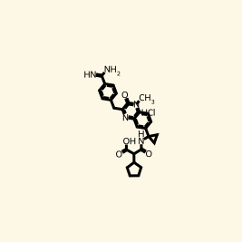 Cl.Cn1c(=O)c(Cc2ccc(C(=N)N)cc2)nc2cc(C3(NC(=O)C(C(=O)O)C4CCCC4)CC3)ccc21